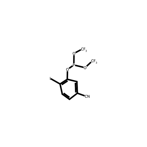 N#Cc1ccc(I)c(OP(OC(F)(F)F)OC(F)(F)F)c1